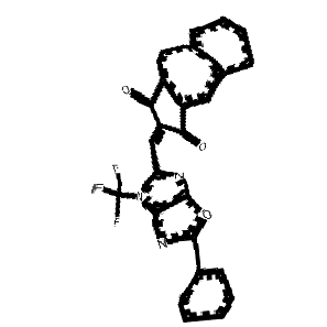 O=C1C(=Cc2nc3oc(-c4ccccc4)nc3n2C(F)(F)F)C(=O)c2cc3ccccc3cc21